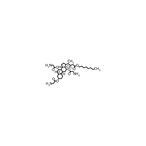 CCCCCCCCOC(=O)CC[C@@H](C)C1CC[C@H]2C3[C@H](OC(=O)CN)CC4C[C@H](OC(=O)CN)CCC4(C)[C@H]3C[C@H](OC(=O)CN)[C@]12C